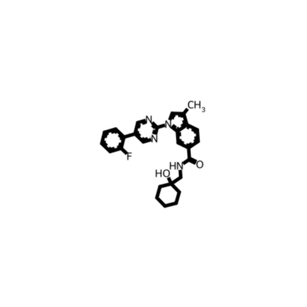 Cc1cn(-c2ncc(-c3ccccc3F)cn2)c2cc(C(=O)NCC3(O)CCCCC3)ccc12